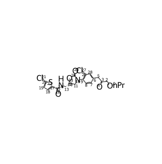 CCCOCC(=O)Cc1ccc(N2C[C@H](CNC(=O)c3ccc(Cl)s3)OC2=O)c(Cl)c1